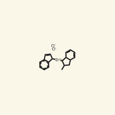 CC1CC2C=CC=CC2[CH]1[Zr+2][CH]1C=Cc2ccccc21.[Cl-].[Cl-]